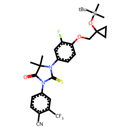 CC1(C)C(=O)N(c2ccc(C#N)c(C(F)(F)F)c2)C(=S)N1c1ccc(OCC2(O[Si](C)(C)C(C)(C)C)CC2)c(F)c1